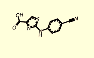 N#Cc1ccc(Nc2nc(C(=O)O)cs2)cc1